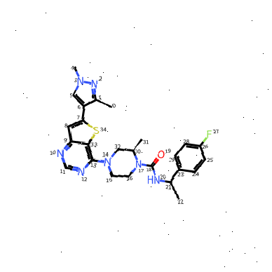 Cc1nn(C)cc1-c1cc2ncnc(N3CCN(C(=O)NC(C)c4ccc(F)cc4)[C@H](C)C3)c2s1